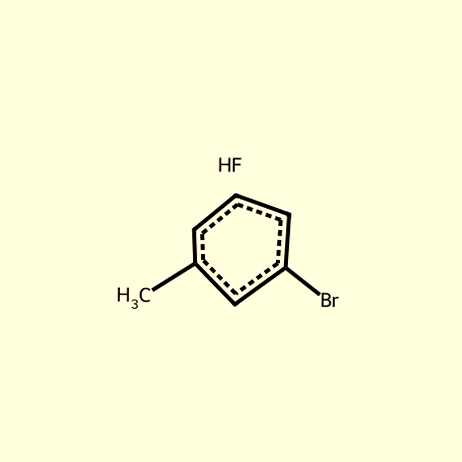 Cc1cccc(Br)c1.F